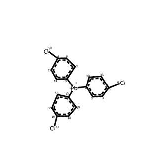 Clc1cc[c]([Pb]([c]2ccc(Cl)cc2)[c]2ccc(Cl)cc2)cc1